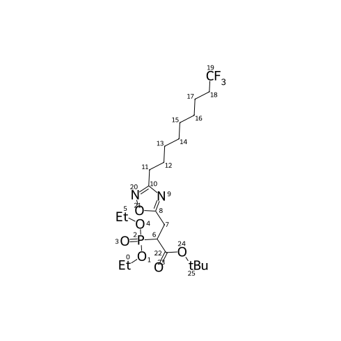 CCOP(=O)(OCC)C(Cc1nc(CCCCCCCCC(F)(F)F)no1)C(=O)OC(C)(C)C